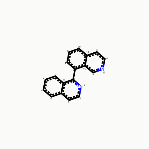 c1cc(-c2nccc3ccccc23)c2cnccc2c1